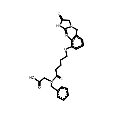 O=C(O)CN(Cc1ccccc1)C(=O)CCCCOc1cccc2c1N=C1NC(=O)CN1C2